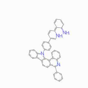 N=C1C=CC=C/C1=C1\C=CC(c2ccc(-n3c4ccccc4c4ccc5c(-c6ccccc6)nc6ccccc6c5c43)cc2)=CN1